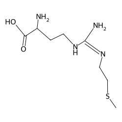 CSCCN=C(N)NCCC(N)C(=O)O